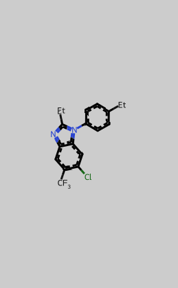 CCc1ccc(-n2c(CC)nc3cc(C(F)(F)F)c(Cl)cc32)cc1